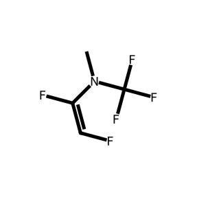 CN(/C(F)=C\F)C(F)(F)F